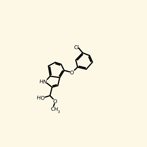 COC(O)c1cc2c(Oc3cccc(Cl)c3)cccc2[nH]1